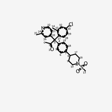 CC(=O)[C@](c1ccc(C2CCN(S(C)(=O)=O)CC2)cc1)(c1ccnc(C)c1)c1ccc(Cl)cc1C